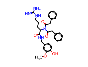 COc1cc(CNC(=O)C(CCCNC(=N)N)N(C(=O)Cc2ccccc2)C(=O)Cc2ccccc2)ccc1O